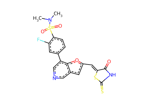 CN(C)S(=O)(=O)c1ccc(-c2cncc3cc(/C=C4\SC(=S)NC4=O)oc23)cc1F